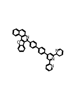 C1=CCC(c2cc(-c3ccc(-c4ccc(-c5nc6ccc7ccccc7c6c6oc7ccccc7c56)cc4)cc3)cc(-c3ccccn3)n2)N=C1